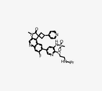 CC(C)NCCOc1ncc(-c2cc3c4c(cnc3cc2F)N(C)C(=O)C42CC(c3ccncc3)C2)cc1NS(C)(=O)=O